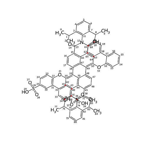 CC(C)c1cccc(C(C)C)c1N1C(=O)c2ccc3c4c(Oc5ccc(S(=O)(=O)O)cc5-c5ccc(S(=O)(=O)O)cc5)cc5c6c(ccc(c7c(Oc8ccccc8-c8ccccc8)cc(c2c37)C1=O)c64)C(=O)N(c1c(C(C)C)cccc1C(C)C)C5=O